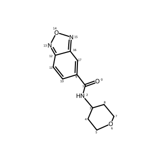 O=C(NC1CCOCC1)c1ccc2nonc2c1